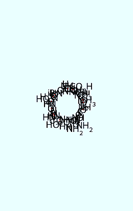 CCCC[C@H]1C(=O)N(C)[C@H](CCC(=O)O)C(=O)N[C@@H](CC(N)=P)C(=O)N[C@@H](C(C)C)C(=O)N(C)[C@@H](Cc2ccccc2)C(=O)N[C@@H](Cc2ccc(O)cc2)C(=O)N2CCCC[C@@H]2C(=O)N[C@@H](Cc2c[nH]c3ccccc23)C(=O)N[C@@H](Cc2ccc(O)cc2)C(=O)N[C@@H](CCCCN)C(=O)N[C@H](C(=O)NCC(N)=O)CSCC(=O)N[C@@H](Cc2ccccc2)C(=O)N(C)[C@@H](Cc2ccccc2)C(=O)N1C